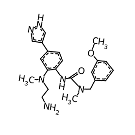 COc1cccc(CN(C)C(=O)Nc2ccc(-c3cn[nH]c3)cc2N(C)CCN)c1